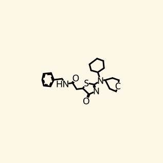 O=C(CC1SC(N(C2CCCCC2)C2CCCCC2)=NC1=O)NCc1ccccc1